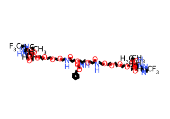 CC1(C)O[C@@H]2[C@@H](Nc3cncc(C(F)(F)F)n3)[C@H]3OC[C@](COCCOCCOCCOCCNC(=O)CCOCC(COCCC(=O)NCCOCCOCCOCCOC[C@@]45CO[C@@H](O4)[C@H](Nc4cncc(C(F)(F)F)n4)[C@H]4OC(C)(C)O[C@H]45)NC(=O)OCc4ccccc4)(O3)[C@@H]2O1